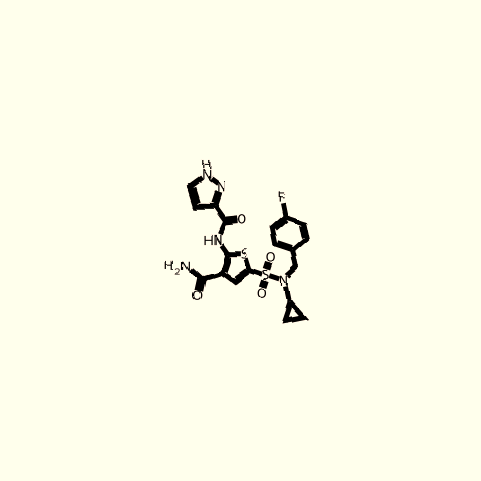 NC(=O)c1cc(S(=O)(=O)N(Cc2ccc(F)cc2)C2CC2)sc1NC(=O)c1cc[nH]n1